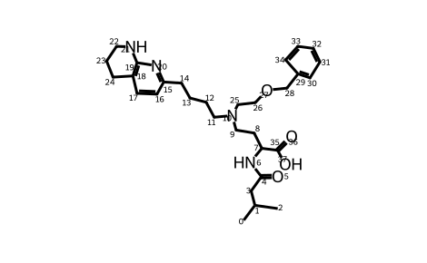 CC(C)CC(=O)NC(CCN(CCCCc1ccc2c(n1)NCCC2)CCOCc1ccccc1)C(=O)O